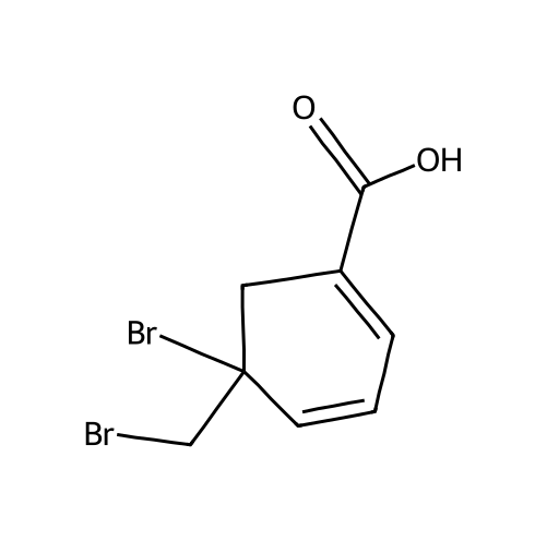 O=C(O)C1=CC=CC(Br)(CBr)C1